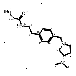 CN(C)[C@H]1CCN(Cc2ccc(CCNC(=O)OC(C)(C)C)cc2)C1